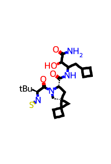 CC(C)(C)[C@H](N=S)C(=O)N1C[C@]2(C[C@H]1C(=O)NC(CC1CCC1)C(O)C(N)=O)CC21CCC1